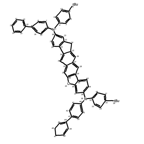 CC(C)(C)c1ccc(N(c2ccc(-c3ccccc3)cc2)c2ccc3c(c2)Cc2cc4cc5c(cc4cc2-3)oc2cc(N(c3ccc(C4=CCCC=C4)cc3)c3ccc(C(C)(C)C)cc3)ccc25)cc1